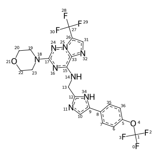 FC(F)(F)Oc1ccc(-c2cnc(CNc3nc(N4CCOCC4)nn4c(C(F)(F)F)cnc34)[nH]2)cc1